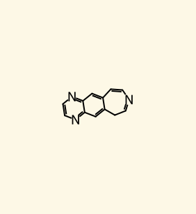 C1=Cc2cc3nccnc3cc2CC=N1